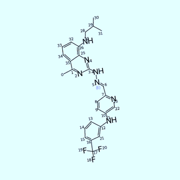 Cc1nc(N/N=C/c2ccc(Nc3cccc(C(F)(F)F)c3)cn2)nc2c(NCC(C)C)cccc12